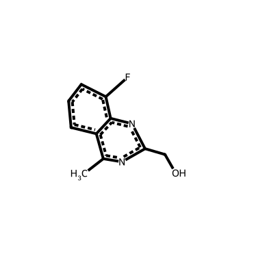 Cc1nc(CO)nc2c(F)cccc12